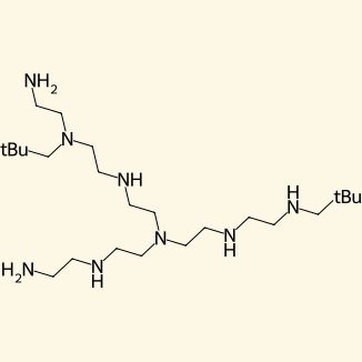 CC(C)(C)CNCCNCCN(CCNCCN)CCNCCN(CCN)CC(C)(C)C